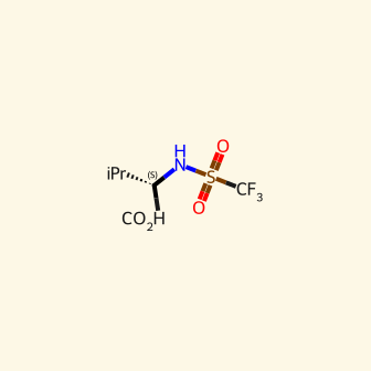 CC(C)[C@H](NS(=O)(=O)C(F)(F)F)C(=O)O